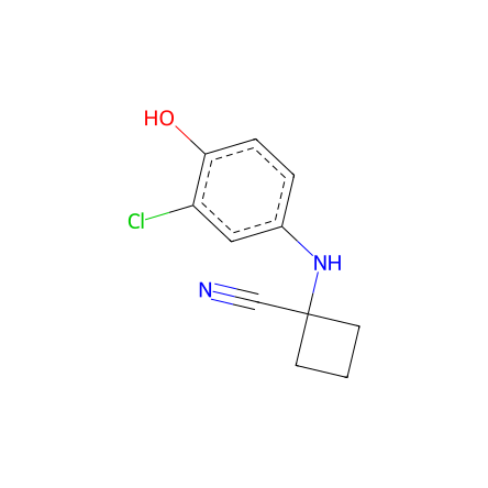 N#CC1(Nc2ccc(O)c(Cl)c2)CCC1